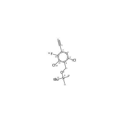 C#Cc1cc(Cl)c(CO[Si](C)(C)C(C)(C)C)c(Cl)c1F